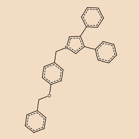 c1ccc(COc2ccc(Cn3cc(-c4ccccc4)c(-c4ccccc4)c3)cc2)cc1